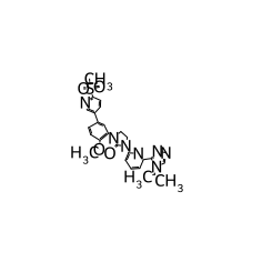 COc1ccc(-c2ccc(S(C)(=O)=O)nc2)cc1N1CCN(c2cccc(-c3nncn3C(C)C)n2)C1=O